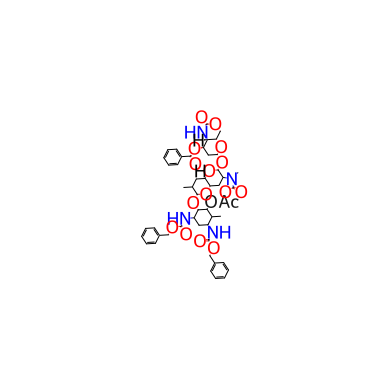 CC(=O)O[C@@H]1C(C)[C@H](NC(=O)OCc2ccccc2)CC(NC(=O)OCc2ccccc2)[C@H]1O[C@H]1OC2C3OC(=O)N(C)C3C(O[C@@H]3C[C@@H](OC(=O)c4ccccc4)[C@@H]4NC(=O)OCC4O3)O[C@H]2CC1C